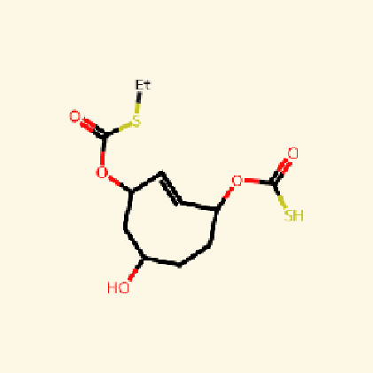 CCSC(=O)OC1/C=C/C(OC(=O)S)CCC(O)C1